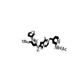 CC(=O)Nc1cc(CN2CCn3nc(Nc4cc(C(C)(C)C)n([C@@H]5CCOC5)n4)cc3[C@H]2C)ccn1